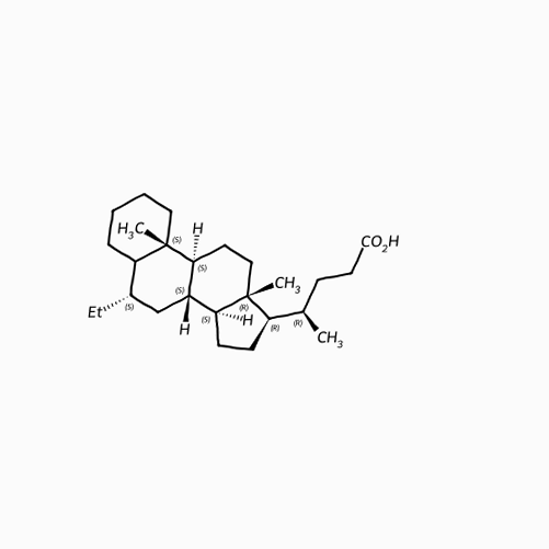 CC[C@H]1C[C@H]2[C@@H]3CC[C@H]([C@H](C)CCC(=O)O)[C@@]3(C)CC[C@@H]2[C@@]2(C)CCCCC12